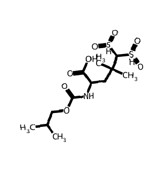 CC(C)COC(=O)NC(CC(C)(C)C([SH](=O)=O)[SH](=O)=O)C(=O)O